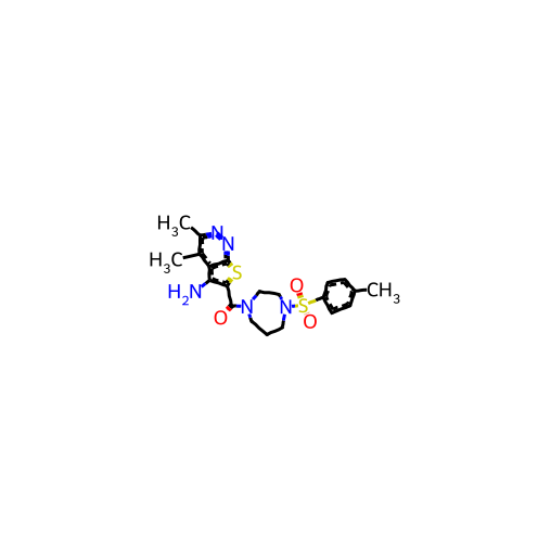 Cc1ccc(S(=O)(=O)N2CCCN(C(=O)c3sc4nnc(C)c(C)c4c3N)CC2)cc1